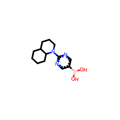 OB(O)c1cnc(N2CCCC3CCCCC32)nc1